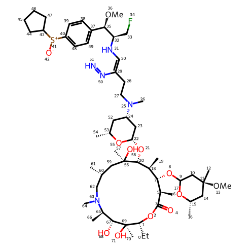 CC[C@H]1OC(=O)[C@H](C)[C@@H](OC2C[C@@](C)(OC)C[C@H](C)O2)[C@H](C)[C@@H](O[C@H]2C[C@@H](N(C)CC/C(=C/N[C@H](CF)[C@H](OC)c3ccc([S+]([O-])C4CCCC4)cc3)N=N)C[C@@H](C)O2)[C@](C)(O)C[C@@H](C)CN(C)[C@H](C)[C@@H](O)[C@]1(C)O